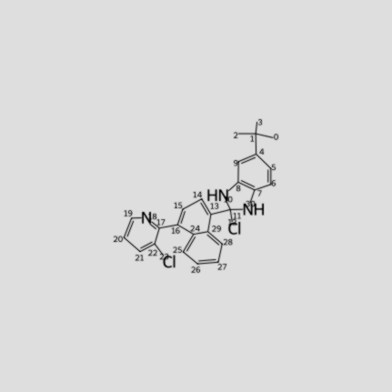 CC(C)(C)c1ccc2c(c1)NC(Cl)(c1ccc(-c3ncccc3Cl)c3ccccc13)N2